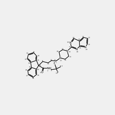 O=C(NCC(F)(F)F)C1(CCCCN2CCN(c3ncc4cccnc4n3)CC2)c2ccccc2-c2ccccc21